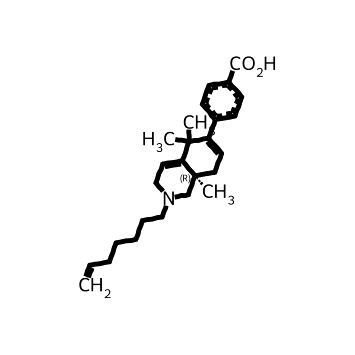 C=CCCCCCN1CC=C2C(C)(C)C(c3ccc(C(=O)O)cc3)=CC[C@@]2(C)C1